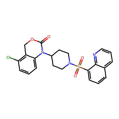 O=C1OCc2c(Cl)cccc2N1C1CCN(S(=O)(=O)c2cccc3cccnc23)CC1